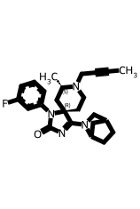 CC#CCN1CC[C@@]2(C[C@@H]1C)C(N1CC3CCC1C3)=NC(=O)N2c1cccc(F)c1